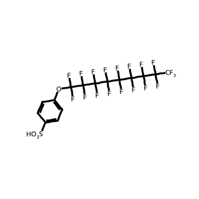 O=S(=O)(O)c1ccc(OC(F)(F)C(F)(F)C(F)(F)C(F)(F)C(F)(F)C(F)(F)C(F)(F)C(F)(F)C(F)(F)F)cc1